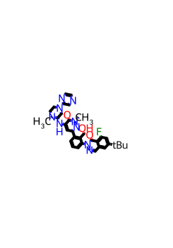 CN1CCN(c2cnccn2)CC1Nc1cc(-c2cccc(-n3ncc4cc(C(C)(C)C)cc(F)c4c3=O)c2CO)nn(C)c1=O